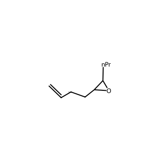 C=C[CH]CC1OC1CCC